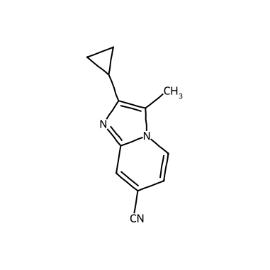 Cc1c(C2CC2)nc2cc(C#N)ccn12